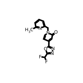 Cc1cccc(Cn2ccc(-c3nnc(C(F)F)o3)cc2=O)n1